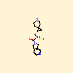 Cl.O=C(NC[C@H]1CC12CCNCC2)N1Cc2ccncc2C1